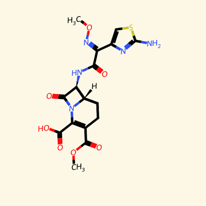 CON=C(C(=O)N[C@@H]1C(=O)N2C(C(=O)O)=C(C(=O)OC)CC[C@@H]12)c1csc(N)n1